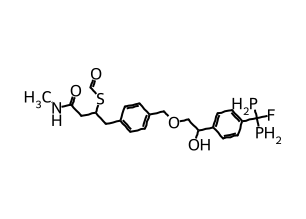 CNC(=O)CC(Cc1ccc(COCC(O)c2ccc(C(F)(P)P)cc2)cc1)SC=O